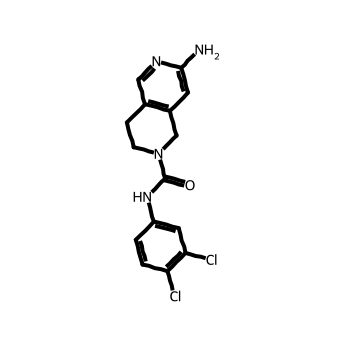 Nc1cc2c(cn1)CCN(C(=O)Nc1ccc(Cl)c(Cl)c1)C2